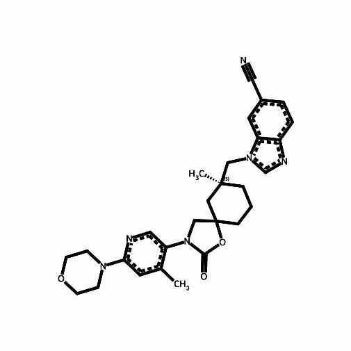 Cc1cc(N2CCOCC2)ncc1N1CC2(CCC[C@](C)(Cn3cnc4ccc(C#N)cc43)C2)OC1=O